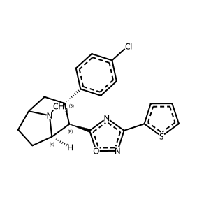 CN1C2CC[C@@H]1[C@H](c1nc(-c3cccs3)no1)[C@@H](c1ccc(Cl)cc1)C2